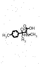 CN[C@H](C(=O)O)C(C)(C)c1ccc(C)cc1